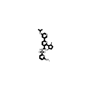 CC(C)Oc1cncc(-c2ccc(C(=O)NS(=O)(=O)c3cccc(N)n3)c(C3[C@H](C)CC[C@@H]3C)n2)c1